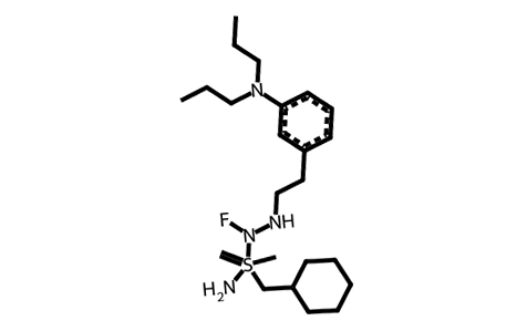 C=S(C)(N)(CC1CCCCC1)N(F)NCCc1cccc(N(CCC)CCC)c1